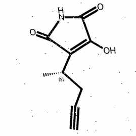 C#CC[C@H](C)C1=C(O)C(=O)NC1=O